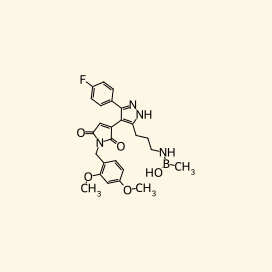 COc1ccc(CN2C(=O)C=C(c3c(-c4ccc(F)cc4)n[nH]c3CCCNB(C)O)C2=O)c(OC)c1